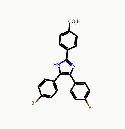 O=C(O)c1ccc(-c2nc(-c3ccc(Br)cc3)c(-c3ccc(Br)cc3)[nH]2)cc1